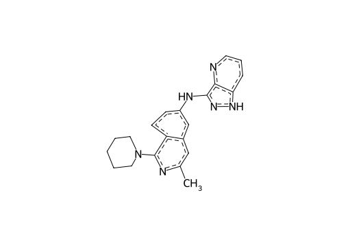 Cc1cc2cc(Nc3n[nH]c4cccnc34)ccc2c(N2CCCCC2)n1